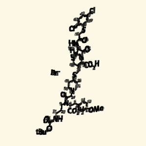 COc1ccc(CC(C(=O)O)N(CCCNC(=O)OC(C)(C)C)C(=O)C[n+]2ccc(SCC3=C(C(=O)O)N4C(=O)[C@H](NC(=O)CSc5cc(Cl)ccc5Cl)[C@H]4SC3)cc2)cc1.[Br-]